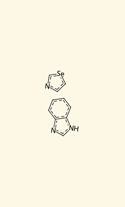 c1c[se]cn1.c1ccc2[nH]cnc2c1